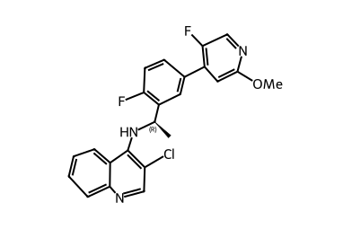 COc1cc(-c2ccc(F)c([C@@H](C)Nc3c(Cl)cnc4ccccc34)c2)c(F)cn1